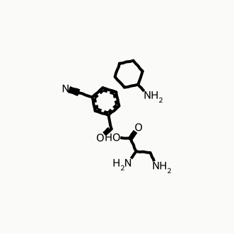 N#Cc1cccc(C=O)c1.NC1CCCCC1.NCC(N)C(=O)O